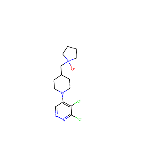 [O-][N+]1(CC2CCN(c3cnnc(Cl)c3Cl)CC2)CCCC1